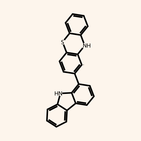 [c]1c(-c2cccc3c2[nH]c2ccccc23)ccc2c1Nc1ccccc1S2